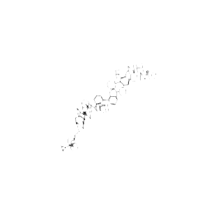 COc1cc(OC2CCc3c(-c4cccc(NC(=O)c5nc6c(n5C)CCN(CCCOC(=O)C5CC5)C6)c4Cl)cccc32)c(Cl)c(F)c1CN